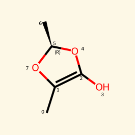 CC1=C(O)O[C@H](C)O1